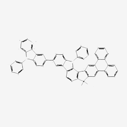 CC1(C)c2cc3c4ccccc4c4ccccc4c3cc2-c2c1ccc1c3cc(-c4ccc5c(c4)c4ncccc4n5-c4ccccc4)ccc3n(-c3ccccc3)c21